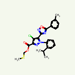 CSCOC(=O)c1nn(-c2ccccc2C(C)C)c(-c2noc(-c3cccc(C)c3)n2)c1Cl